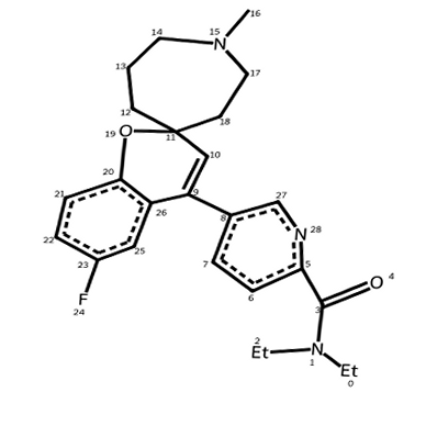 CCN(CC)C(=O)c1ccc(C2=CC3(CCCN(C)CC3)Oc3ccc(F)cc32)cn1